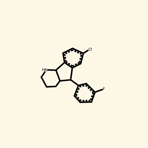 Fc1cccc(C2c3cc(Cl)ccc3C3NCCCC32)c1